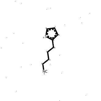 [C-]#[N+]CCCCc1cccs1